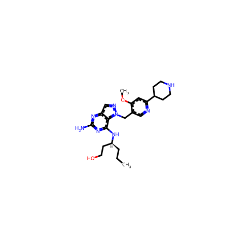 CCC[C@@H](CCO)Nc1nc(N)nc2cnn(Cc3cnc(C4CCNCC4)cc3OC)c12